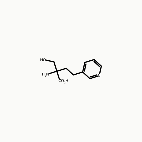 NC(CO)(CCc1cccnc1)C(=O)O